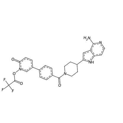 Nc1nccc2[nH]c(C3CCN(C(=O)c4ccc(-c5ccc(=O)n(OC(=O)C(F)(F)F)c5)cc4)CC3)cc12